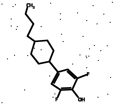 CCCCC1CCC(c2cc(F)c(O)c(F)c2)CC1